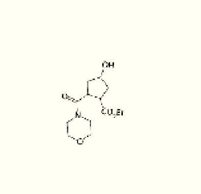 CCOC(=O)C1CC(O)CC1C(=O)N1CCOCC1